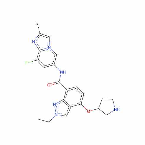 CCn1cc2c(OC3CCNC3)ccc(C(=O)Nc3cc(F)c4nc(C)cn4c3)c2n1